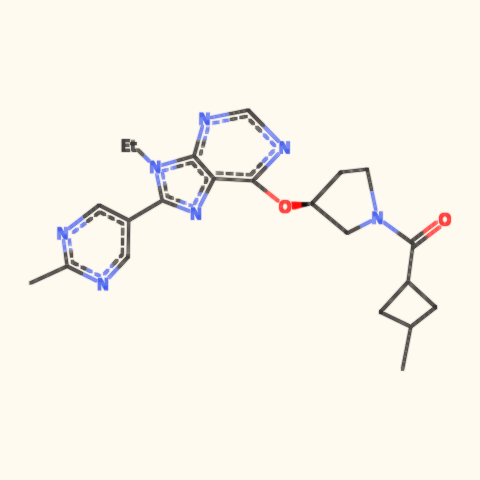 CCn1c(-c2cnc(C)nc2)nc2c(O[C@H]3CCN(C(=O)C4CC(C)C4)C3)ncnc21